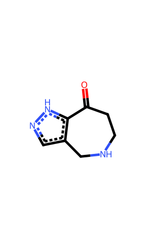 O=C1CCNCc2cn[nH]c21